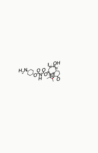 C=C[C@]1(C)C[C@@H](OC(=O)NC(=O)OC2CCC(N)CC2)[C@]2(C)C(C)CC3(CC)C(=O)CCC([C@@H](C)[C@@H]1O)[C@@H]32